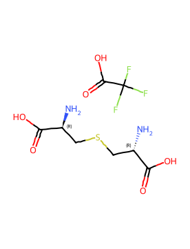 N[C@@H](CSC[C@H](N)C(=O)O)C(=O)O.O=C(O)C(F)(F)F